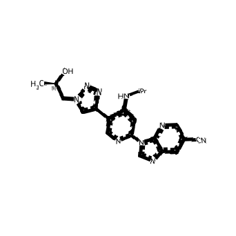 CC(C)Nc1cc(-n2cnc3cc(C#N)cnc32)ncc1-c1cn(C[C@@H](C)O)nn1